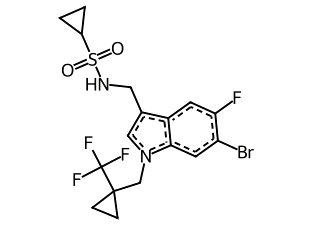 O=S(=O)(NCc1cn(CC2(C(F)(F)F)CC2)c2cc(Br)c(F)cc12)C1CC1